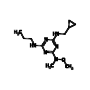 CCCNc1nc(NCC2CC2)nc(N(C)OC)n1